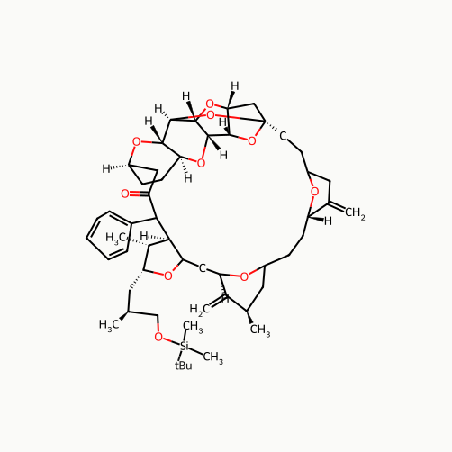 C=C1CC2CC[C@@]34C[C@H]5O[C@H]6[C@@H](O3)[C@H]3O[C@H](CC[C@@H]3O[C@H]6[C@H]5O4)CC(=O)C(c3ccccc3)[C@H]3C(C[C@H]4OC(CC[C@@H]1O2)C[C@@H](C)C4=C)O[C@H](C[C@H](C)CO[Si](C)(C)C(C)(C)C)[C@@H]3C